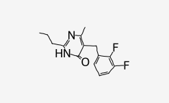 CCCc1nc(C)c(Cc2cccc(F)c2F)c(=O)[nH]1